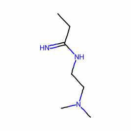 CCC(=N)NCCN(C)C